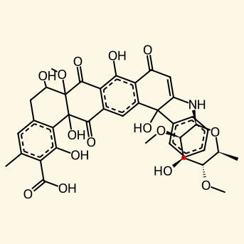 CO[C@@H]1[C@@H](O)[C@@H](OC)[C@@H](NC2=CC(=O)c3c(cc4c(c3O)C(=O)C3(OC)C(O)Cc5cc(C)c(C(=O)O)c(O)c5C3(O)C4=O)C2(O)c2ccccc2)O[C@H]1C